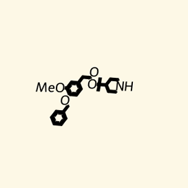 COc1cc(CC(=O)OC(C)(C)C2CCNCC2)ccc1OCc1ccccc1